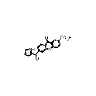 O=C(O)c1ccc2oc3cc(C(=O)c4ccc[nH]4)ccc3c(=O)c2c1